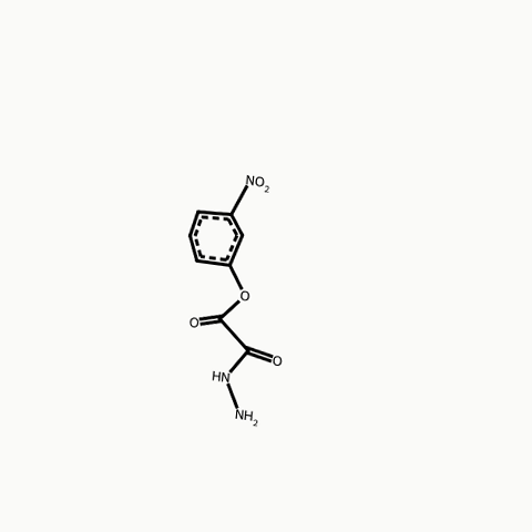 NNC(=O)C(=O)Oc1cccc([N+](=O)[O-])c1